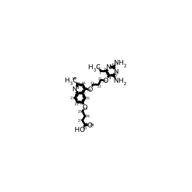 CCc1nc(N)nc(N)c1OCCCOc1cc(C)nc2ccc(OCCCC(=O)O)cc12